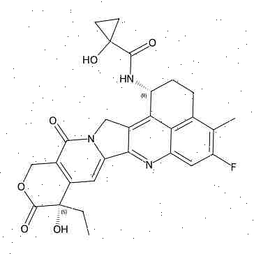 CC[C@@]1(O)C(=O)OCc2c1cc1n(c2=O)Cc2c-1nc1cc(F)c(C)c3c1c2[C@H](NC(=O)C1(O)CC1)CC3